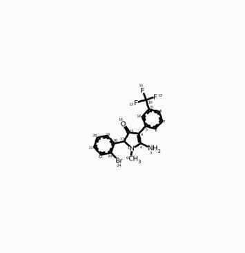 CN1C(N)=C(c2cccc(C(F)(F)F)c2)C(=O)C1c1ccccc1Br